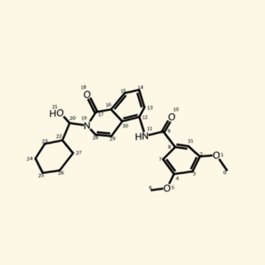 COc1cc(OC)cc(C(=O)Nc2cccc3c(=O)n(C(O)C4CCCCC4)ccc23)c1